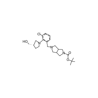 CC(C)(C)OC(=O)N1CC2CN(Cc3cccc(Cl)c3N3CC[C@H](CO)C3)CC2C1